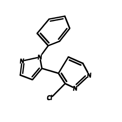 Clc1nnccc1-c1ccnn1-c1ccccc1